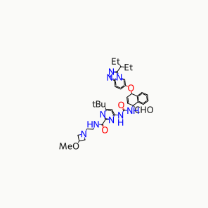 CCC(CC)c1nnc2ccc(O[C@@H]3C=CC(C=O)(NC(=O)Nc4cc(C(C)(C)C)nc(C(=O)NCCN5CC(OC)C5)n4)c4ccccc43)cn12